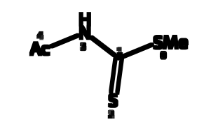 CSC(=S)NC(C)=O